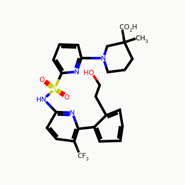 CC1(C(=O)O)CCCN(c2cccc(S(=O)(=O)Nc3ccc(C(F)(F)F)c(-c4ccccc4CCO)n3)n2)C1